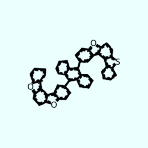 c1ccc2c(c1)oc1ccc3oc4ccc(-c5c6ccccc6c(-c6ccc7oc8ccc9sc%10ccccc%10c9c8c7c6)c6ccccc56)cc4c3c12